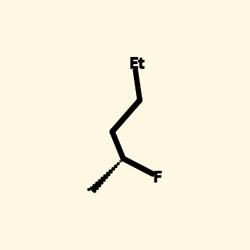 [CH2][C@@H](F)CCCC